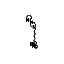 CS(=O)(=O)OCCCCCCN1CCN(c2ccccn2)CC1